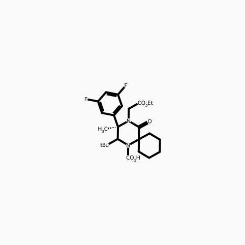 CCOC(=O)CN1C(=O)C2(CCCCC2)N(C(=O)O)C(C(C)(C)C)[C@@]1(C)c1cc(F)cc(F)c1